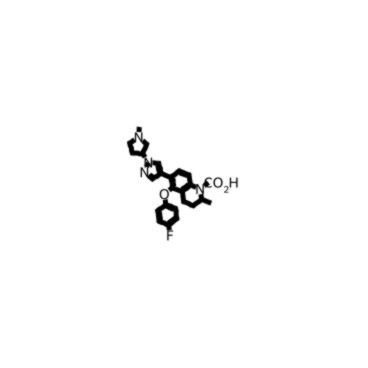 CC1CCc2c(ccc(-c3cnn(C4CCN(C)C4)c3)c2Oc2ccc(F)cc2)N1C(=O)O